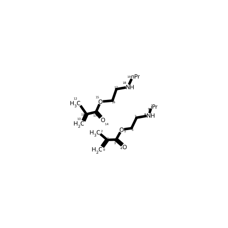 C=C(C)C(=O)OCCNC(C)C.C=C(C)C(=O)OCCNCCC